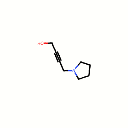 OCC#CCN1CCCC1